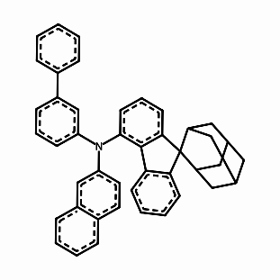 c1ccc(-c2cccc(N(c3ccc4ccccc4c3)c3cccc4c3-c3ccccc3C43C4CC5CC(C4)CC3C5)c2)cc1